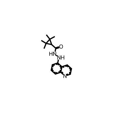 CC1(C)C(C(=O)NNc2cccc3ncccc23)C1(C)C